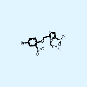 CCn1c([N+](=O)[O-])cnc1COc1ccc(Br)cc1[N+](=O)[O-]